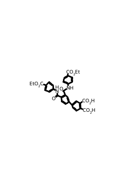 CCOC(=O)c1ccc(NC(=O)c2ccc(-c3ccc(C(=O)O)c(C(=O)O)c3)cc2C(=O)Nc2ccc(C(=O)OCC)cc2)cc1